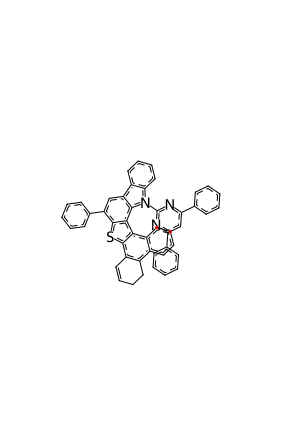 C1=Cc2c(c3ccccc3c3c2sc2c(-c4ccccc4)cc4c5ccccc5n(-c5nc(-c6ccccc6)cc(-c6ccccc6)n5)c4c23)CC1